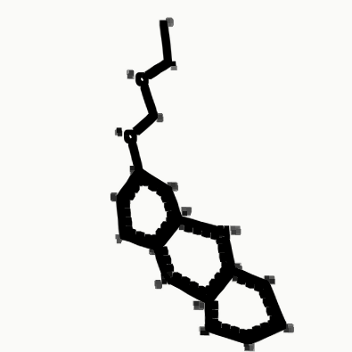 CCOCOc1ccc2nc3ccccc3nc2c1